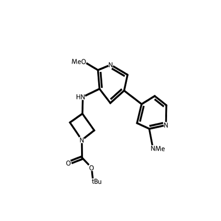 CNc1cc(-c2cnc(OC)c(NC3CN(C(=O)OC(C)(C)C)C3)c2)ccn1